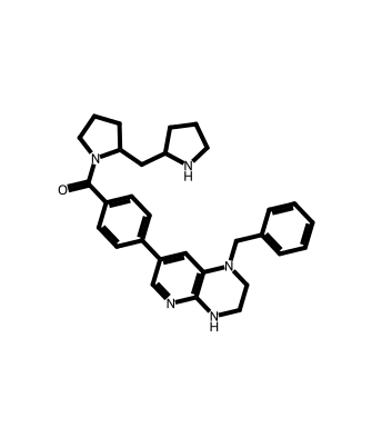 O=C(c1ccc(-c2cnc3c(c2)N(Cc2ccccc2)CCN3)cc1)N1CCCC1CC1CCCN1